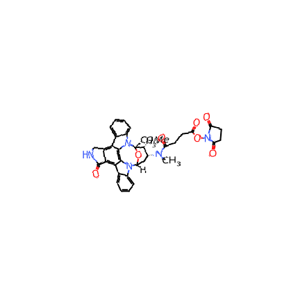 CO[C@@H]1[C@H](N(C)C(=O)CCC(=O)ON2C(=O)CCC2=O)C[C@H]2O[C@]1(C)n1c3ccccc3c3c4c(c5c6ccccc6n2c5c31)C(=O)NC4